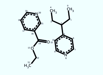 CCC(CC)c1ccncc1.CCOC(=O)c1cccnc1